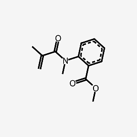 C=C(C)C(=O)N(C)c1ccccc1C(=O)OC